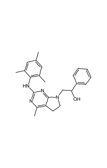 Cc1cc(C)c(Nc2nc(C)c3c(n2)N(CC(O)c2ccccc2)CC3)c(C)c1